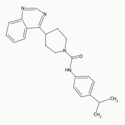 CC(C)c1ccc(NC(=O)N2CCC(c3ncnc4ccccc34)CC2)cc1